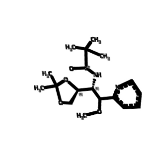 COC(c1ccccn1)[C@@H](N[S+]([O-])C(C)(C)C)[C@H]1COC(C)(C)O1